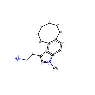 Cn1cc(CCN)c2c3c(ccc21)CCCCCC3